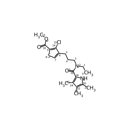 CCN(CCCc1csc(C(=O)OC)c1Cl)C(=O)c1[nH]c(C)c(C)c1C